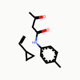 C=CC1CC1.CC(=O)CC(=O)Nc1ccc(C)cc1